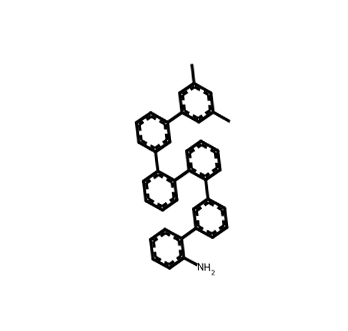 Cc1cc(C)cc(-c2cccc(-c3ccccc3-c3ccccc3-c3cccc(-c4ccccc4N)c3)c2)c1